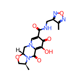 Cc1nonc1CNC(=O)c1cn2c(c(O)c1=O)C(=O)N1[C@@H](C)CO[C@@H]1C2